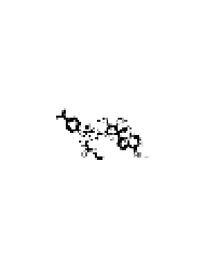 CCOC(=O)[C@H](C)NP(=O)(OC[C@H]1OC(C#N)(c2ccc3c(N)ncnn23)[C@H](O)[C@@H]1O)Oc1ccc(C(C)C)cc1